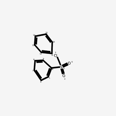 O=S(=O)(Cl)c1ccccc1.c1ccccc1